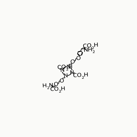 N[C@@H](COCCOCCN1CCN(CC(=O)O)CCN(CCOCCOc2ccc(C[C@H](N)C(=O)O)cc2)CCN(CC(=O)O)CC1)C(=O)O